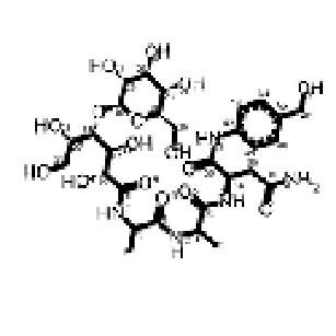 CC(NC(=O)C(C)NC(=O)[C@H](O)[C@H](O)[C@@H](O[C@@H]1O[C@H](CO)[C@H](O)[C@H](O)[C@H]1O)[C@H](O)CO)C(=O)NC(CC(N)=O)C(=O)Nc1ccc(CO)cc1